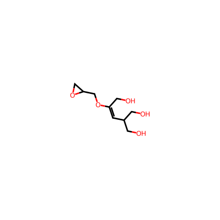 OCC(=CC(CO)CO)OCC1CO1